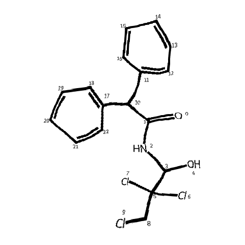 O=C(NC(O)C(Cl)(Cl)CCl)C(c1ccccc1)c1ccccc1